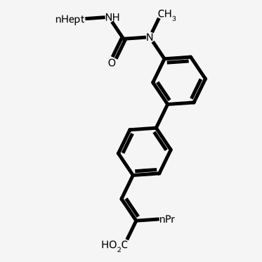 CCCCCCCNC(=O)N(C)c1cccc(-c2ccc(/C=C(\CCC)C(=O)O)cc2)c1